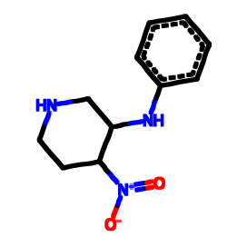 O=[N+]([O-])C1CCNCC1Nc1ccccc1